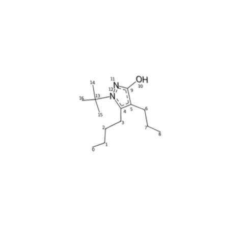 CCCCc1c(CCC)c(O)nn1C(C)(C)C